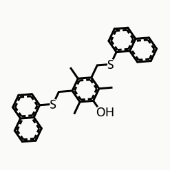 Cc1c(O)c(C)c(CSc2cccc3ccccc23)c(C)c1CSc1cccc2ccccc12